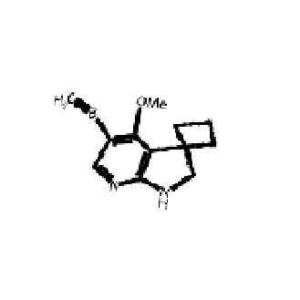 C=Bc1cnc2c(c1OC)C1(CCC1)CN2